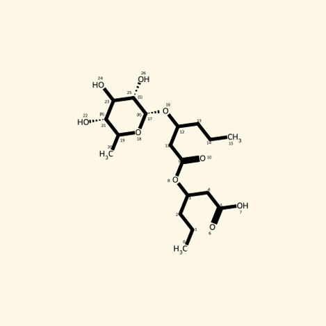 CCCC(CC(=O)O)OC(=O)CC(CCC)O[C@@H]1OC(C)[C@H](O)C(O)[C@@H]1O